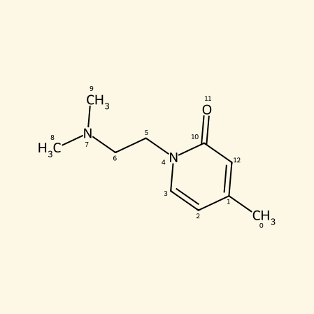 Cc1ccn(CCN(C)C)c(=O)c1